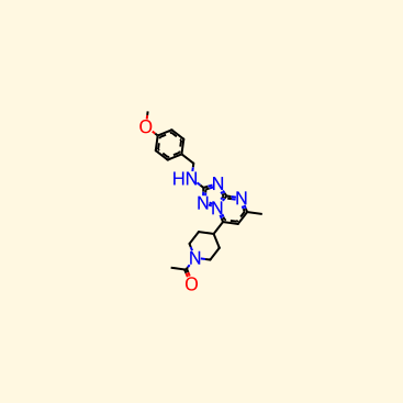 COc1ccc(CNc2nc3nc(C)cc(C4CCN(C(C)=O)CC4)n3n2)cc1